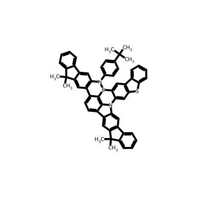 CC(C)(C)c1ccc(N2B3c4cc5c(cc4-n4c6cc7c(cc6c6ccc(c3c64)-c3cc4c(cc32)-c2ccccc2C4(C)C)C(C)(C)c2ccccc2-7)sc2ccccc25)cc1